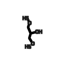 OC(COS)COS